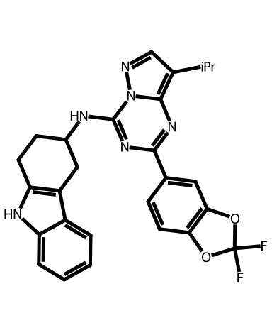 CC(C)c1cnn2c(NC3CCc4[nH]c5ccccc5c4C3)nc(-c3ccc4c(c3)OC(F)(F)O4)nc12